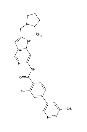 Cc1cnnc(-c2ccc(C(=O)Nc3cc4[nH]c(CN5CCC[C@@H]5C)cc4cn3)c(F)c2)c1